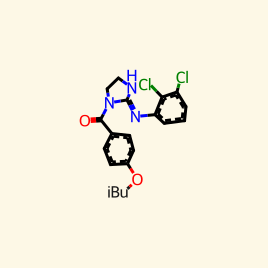 CCC(C)Oc1ccc(C(=O)N2CCN/C2=N\c2cccc(Cl)c2Cl)cc1